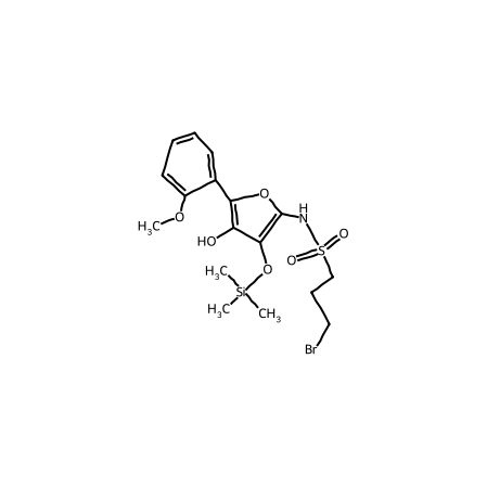 COc1ccccc1-c1oc(NS(=O)(=O)CCCBr)c(O[Si](C)(C)C)c1O